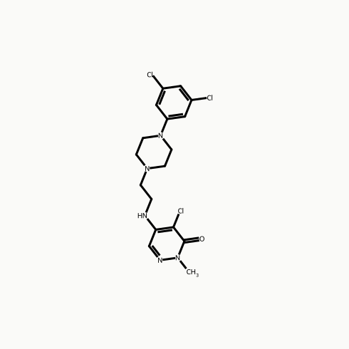 Cn1ncc(NCCN2CCN(c3cc(Cl)cc(Cl)c3)CC2)c(Cl)c1=O